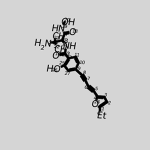 CCc1ccc(C#CC#Cc2ccc(C(=O)NC(C(=O)NO)C(C)(C)N)c(O)c2)o1